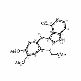 CNCCc1cc(OC)c(OC)cc1Sc1c[nH]c2cccc(Cl)c12